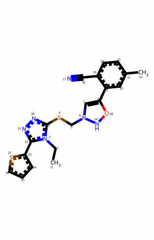 CCn1c(SCN2C=C(c3cc(C)ccc3C#N)ON2)nnc1-c1cccs1